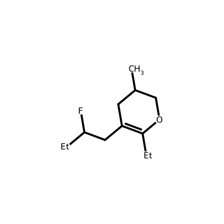 CCC1=C(CC(F)CC)CC(C)CO1